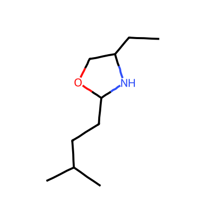 CCC1COC(CCC(C)C)N1